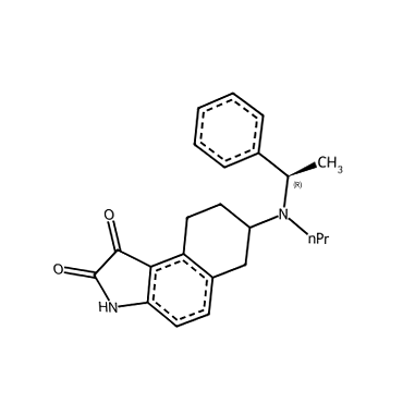 CCCN(C1CCc2c(ccc3c2C(=O)C(=O)N3)C1)[C@H](C)c1ccccc1